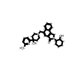 Cc1cccc(C2(C#N)CCN(Cc3cc4c(c5ccccc35)CN(C3CCCCC3O)C4=O)CC2)n1